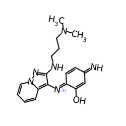 CN(C)CCCNc1nn2ccccc2c1/N=C1\C=CC(=N)C=C1O